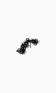 CCOC(=O)c1cnc(N2CCc3cc(C(=O)NCc4ccc(S(=O)(=O)CC)cc4)ccc3C2C(C)C)nc1C(F)(F)F